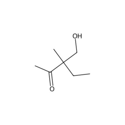 CCC(C)(CO)C(C)=O